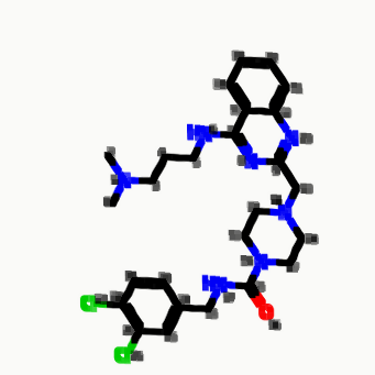 CN(C)CCCNc1nc(CN2CCN(C(=O)NCc3ccc(Cl)c(Cl)c3)CC2)nc2ccccc12